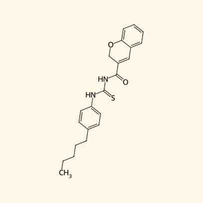 CCCCCc1ccc(NC(=S)NC(=O)C2=Cc3ccccc3OC2)cc1